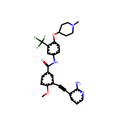 COc1ccc(C(=O)Nc2ccc(OC3CCN(C)CC3)c(C(F)(F)F)c2)cc1C#Cc1cccnc1N